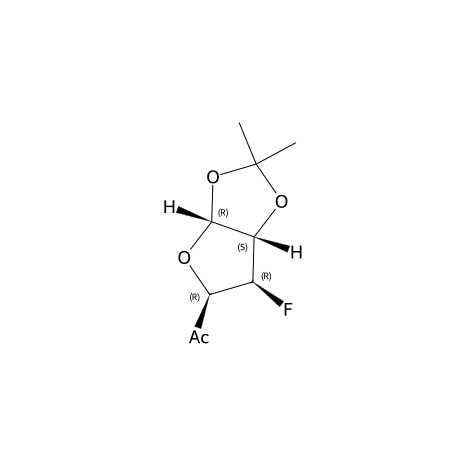 CC(=O)[C@H]1O[C@@H]2OC(C)(C)O[C@@H]2[C@H]1F